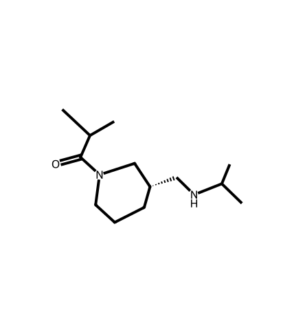 CC(C)NC[C@@H]1CCCN(C(=O)C(C)C)C1